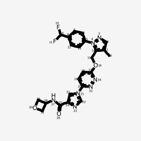 Cc1cnn(-c2ccc(C(F)F)cc2)c1COc1ccc(-n2cnc(C(=O)NC3COC3)c2)nn1